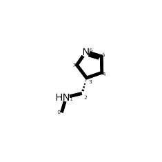 CNC[C@H]1CC=NC1